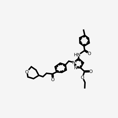 CCOC(=O)c1cc(NC(=O)c2ccc(C)cc2)n(Cc2ccc(C(=O)CCC3CCOCC3)cc2)n1